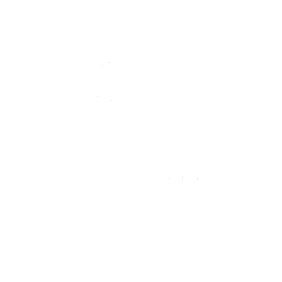 CSc1ccc(OCc2ccccc2)cc1C=O